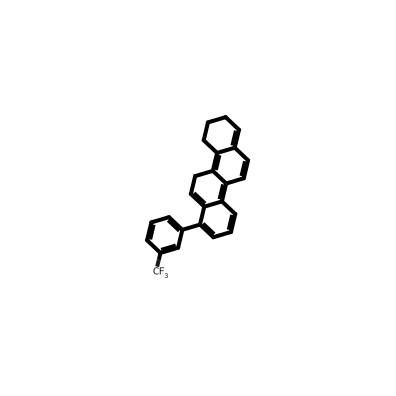 FC(F)(F)c1cccc(-c2cccc3c2=CCc2c4c(ccc2=3)=CCCC4)c1